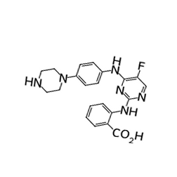 O=C(O)c1ccccc1Nc1ncc(F)c(Nc2ccc(N3CCNCC3)cc2)n1